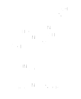 CN1CC[N+](C)(CC(=O)Nc2ccc(N(O)C(=O)C[N+]3(C)CCN(C)CC3)cc2)CC1.[Cl-].[Cl-]